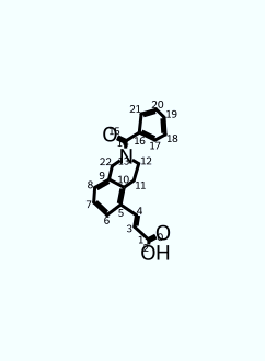 O=C(O)/C=C/c1cccc2c1CCN(C(=O)c1ccccc1)C2